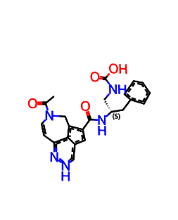 CC(=O)N1C=Cc2n[nH]cc3cc(C(=O)N[C@H](CNC(=O)O)Cc4ccccc4)c(c2-3)C1